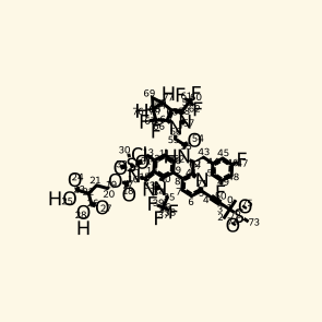 CC(C)(C#Cc1ccc(-c2ccc(Cl)c3c(N(C(=O)OCCC(C(=O)O)C(=O)O)S(C)(=O)=O)nn(CC(F)(F)F)c23)c([C@H](Cc2cc(F)cc(F)c2)NC(=O)Cn2nc(C(F)(F)F)c3c2C(F)(F)[C@@H]2C[C@H]32)n1)S(C)(=O)=O